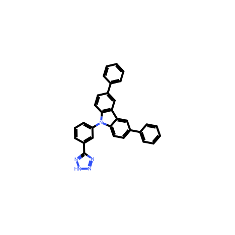 c1ccc(-c2ccc3c(c2)c2cc(-c4ccccc4)ccc2n3-c2cccc(-c3nn[nH]n3)c2)cc1